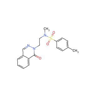 Cc1ccc(S(=O)(=O)N(C)CCn2ncc3ccccc3c2=O)cc1